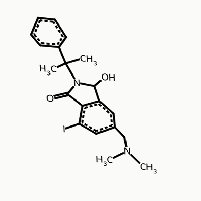 CN(C)Cc1cc(I)c2c(c1)C(O)N(C(C)(C)c1ccccc1)C2=O